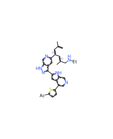 C=C(C)/C=C(\C=C(/C)CNCC)c1cc2c(-c3cc4c(-c5ccc(C(C)=O)s5)cncc4[nH]3)n[nH]c2cn1